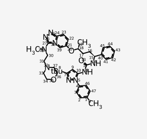 Cc1ccc(-n2nc(C(C)(C)C)cc2NC(=O)N[C@@H](CC[C@H](C)Oc2ccc3nnc(N(C)CCN4CCOCC4)n3c2)c2ccccc2)cc1